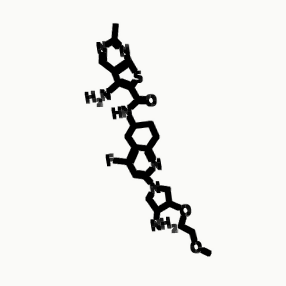 COCCOC1CN(c2cc(F)c3c(n2)CCC(NC(=O)c2sc4nc(C)ncc4c2N)C3)CC1N